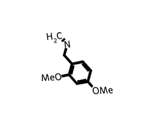 C=NCc1ccc(OC)cc1OC